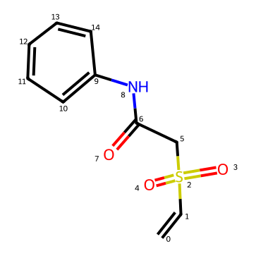 C=CS(=O)(=O)CC(=O)Nc1ccccc1